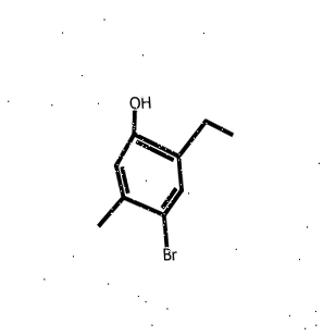 CCc1cc(Br)c(C)cc1O